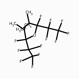 CC(C)C(F)(OC(F)(C(C)C)C(F)(F)C(F)(F)F)C(F)(F)C(F)(F)F